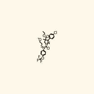 CCOC(=O)C1(C)CN(C(=O)N(SCCOC)c2ccc(OC(F)(F)F)cc2)N=C1c1ccc(Cl)cc1